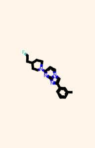 Cc1cccc(-c2cn3ccc(N4CCC(CCF)CC4)nc3n2)c1